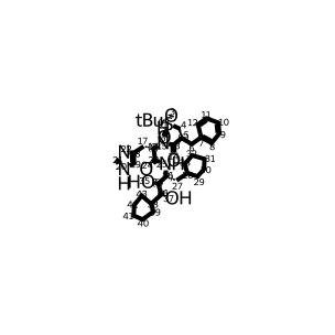 CC(C)(C)S(=O)(=O)C[C@@H](Cc1ccccc1)C(=O)N[C@@H](Cc1c[nH]cn1)C(=O)N[C@H](CC1CCCCC1)[C@H](O)[C@H](O)C1CCCCC1